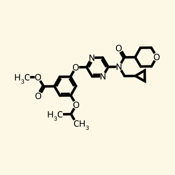 COC(=O)c1cc(Oc2cnc(N(CC3CC3)C(=O)C3CCOCC3)cn2)cc(OC(C)C)c1